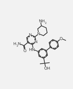 COc1ccc(-c2cc(Nc3nc(N4CCCC(N)C4)ncc3C(N)=O)cc(C(C)(C)O)c2)cc1